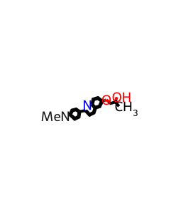 CNc1ccc(-c2ccc3cc(OCC(C)O)ccc3n2)cc1